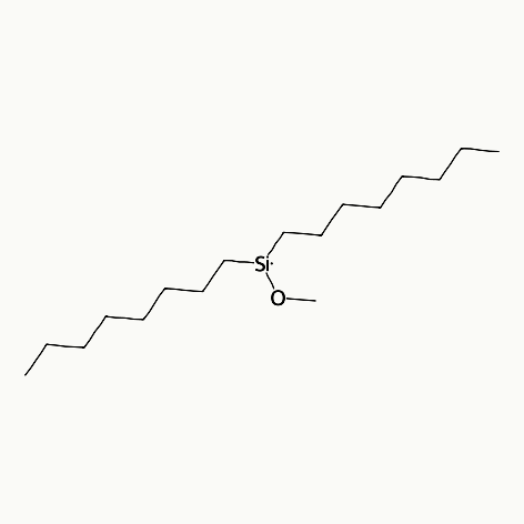 CCCCCCCC[Si](CCCCCCCC)OC